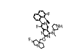 C#Cc1c(F)ccc2cccc(-c3ncc4c(N(C)[C@@H]5CCNC5)nc(OC[C@@]56CCCN5C[C@H](F)C6)nc4c3F)c12